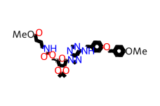 COC(=O)CCCNC(=O)OC[C@H]1O[C@@H](n2cnc3c(NCc4ccc(OCc5ccc(OC)cc5)cc4)ncnc32)C2OC(C)(C)OC21